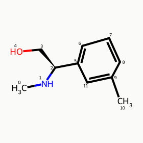 CN[C@@H](CO)c1cccc(C)c1